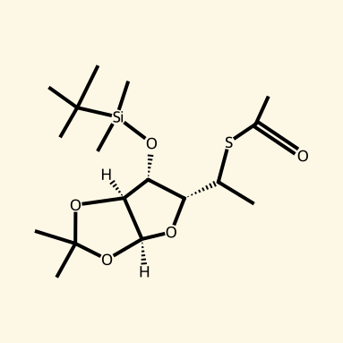 CC(=O)SC(C)[C@@H]1O[C@H]2OC(C)(C)O[C@H]2[C@@H]1O[Si](C)(C)C(C)(C)C